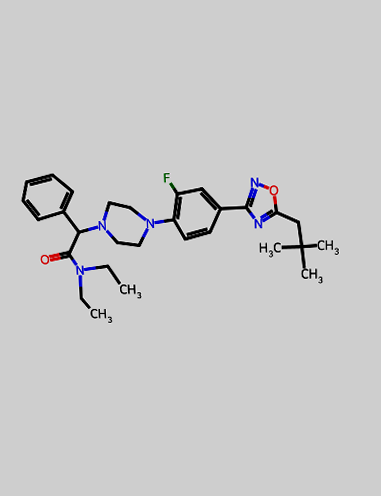 CCN(CC)C(=O)C(c1ccccc1)N1CCN(c2ccc(-c3noc(CC(C)(C)C)n3)cc2F)CC1